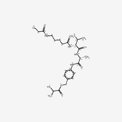 CC(S)C(=O)OCc1ccc(NC(=O)[C@@H](C)NC(=O)[C@H](NC(=O)CCCCNC(=O)CCl)C(C)C)cc1